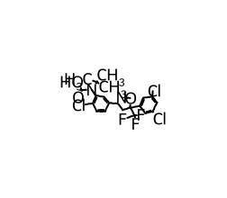 CC(C)(C)N(C(=O)O)c1cc(C2=NOC(c3cc(Cl)cc(Cl)c3)(C(F)(F)F)C2)ccc1Cl